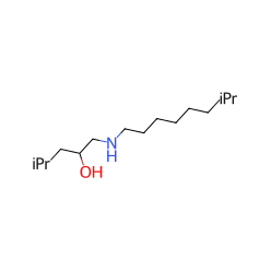 CC(C)CCCCCCNCC(O)CC(C)C